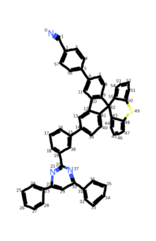 N#Cc1ccc(-c2ccc3c(c2)-c2cc(-c4cccc(-c5nc(-c6ccccc6)cc(-c6ccccc6)n5)c4)ccc2C32c3ccccc3Sc3ccccc32)cc1